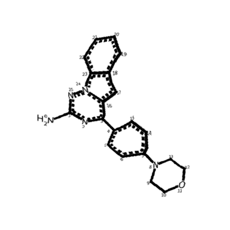 Nc1nc(-c2ccc(N3CCOCC3)cc2)c2cc3ccccc3n2n1